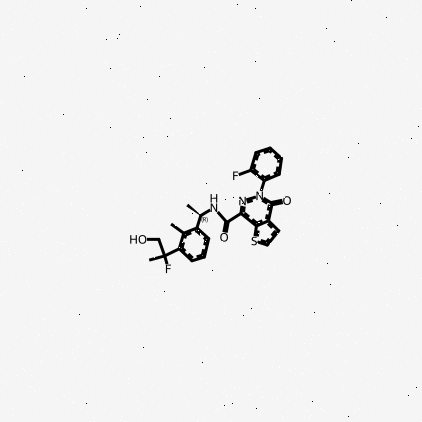 Cc1c([C@@H](C)NC(=O)c2nn(-c3ccccc3F)c(=O)c3ccsc23)cccc1C(C)(F)CO